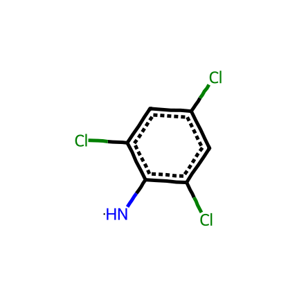 [NH]c1c(Cl)cc(Cl)cc1Cl